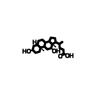 CC(CCC(=O)O)C1CCC2C3CC[C@H]4C[C@H](O)CC[C@]4(C)C3C[C@H](O)[C@]12C